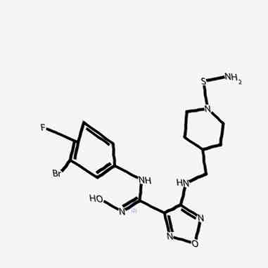 NSN1CCC(CNc2nonc2/C(=N/O)Nc2ccc(F)c(Br)c2)CC1